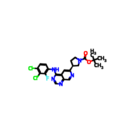 CC(C)(C)OC(=O)N1CC[C@H](c2cc3c(Nc4ccc(Cl)c(Cl)c4F)ncnc3cn2)C1